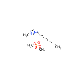 CCCCCCCCCC[n+]1ccn(C)c1.COP(=O)([O-])OC